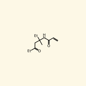 C=CC(=O)NC(C)(CC)CC(=O)CC